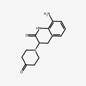 Nc1cccc2c1NC(=O)C(N1CCC(=O)CC1)C2